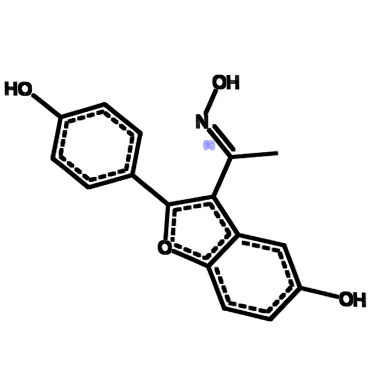 C/C(=N\O)c1c(-c2ccc(O)cc2)oc2ccc(O)cc12